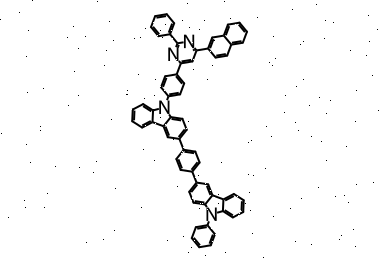 c1ccc(-c2nc(-c3ccc(-n4c5ccccc5c5cc(-c6ccc(-c7ccc8c(c7)c7ccccc7n8-c7ccccc7)cc6)ccc54)cc3)cc(-c3ccc4ccccc4c3)n2)cc1